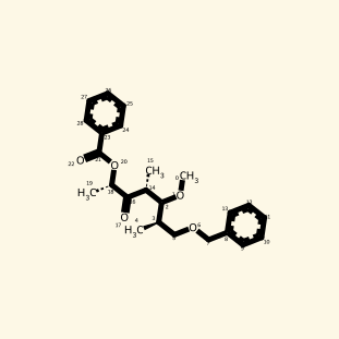 COC([C@H](C)COCc1ccccc1)[C@@H](C)C(=O)[C@H](C)OC(=O)c1ccccc1